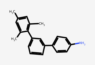 Cc1cc(C)c(-c2cccc(-c3ccc(N)cc3)c2)c(C)c1